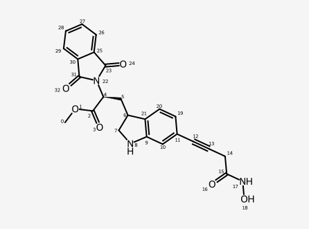 COC(=O)[C@H](CC1CNc2cc(C#CCC(=O)NO)ccc21)N1C(=O)c2ccccc2C1=O